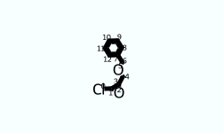 ClC1OC1COCc1ccccc1